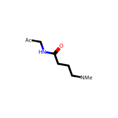 CNCCCC(=O)NCC(C)=O